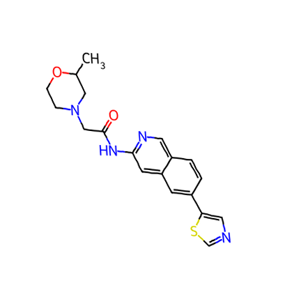 CC1CN(CC(=O)Nc2cc3cc(-c4cncs4)ccc3cn2)CCO1